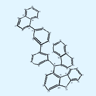 c1cc(-c2cccc(N(c3cccc4ccccc34)c3cccc4oc5ccccc5c34)c2)cc(-c2cccc3ccccc23)c1